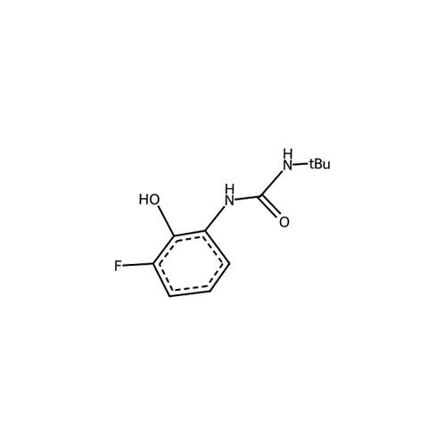 CC(C)(C)NC(=O)Nc1cccc(F)c1O